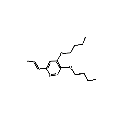 C/C=C/c1cc(OCCCC)c(OCCCC)nn1